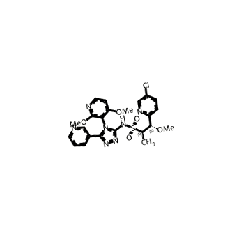 COc1ccnc(OC)c1-n1c(NS(=O)(=O)[C@H](C)[C@@H](OC)c2ccc(Cl)cn2)nnc1-c1cccnc1